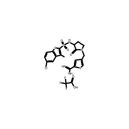 Cc1c(S(=O)(=O)NC2CCN(Cc3csc(C(=N)N)c3)C2=O)sc2ccc(Cl)cc12.O=C(O)C(F)(F)F